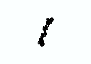 CC(OCCCC(C)(C)OC(=O)COc1ccc2c(=O)c3ccccc3sc2c1)C(=O)COc1ccc2c(=O)c3ccccc3sc2c1